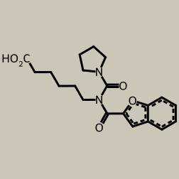 O=C(O)CCCCCN(C(=O)c1cc2ccccc2o1)C(=O)N1CCCC1